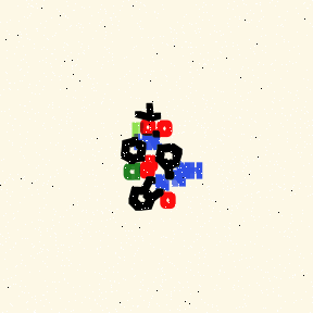 CC(C)(C)OC(=O)Nc1ccc2[nH]nc(N3C(=O)c4ccccc4C3=O)c2c1Oc1cc(F)ccc1Cl